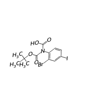 CC(C)(C)OC(=O)N(C(=O)O)c1ccc(I)cc1Br